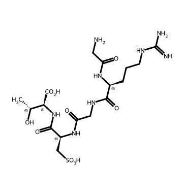 C[C@@H](O)[C@H](NC(=O)[C@H](CS(=O)(=O)O)NC(=O)CNC(=O)[C@H](CCCNC(=N)N)NC(=O)CN)C(=O)O